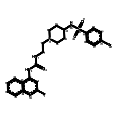 Cc1cc(NC(=O)NCCN2CCC(NS(=O)(=O)c3ccc(Br)cc3)CC2)c2ccccc2n1